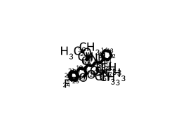 CC(C)(C)OC(=O)NC(CC1CCCCC1)C(CC(Cc1ccc(F)cc1)C(=O)O)O[Si](C)(C)C(C)(C)C